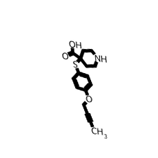 CC#CCOc1ccc(SC2(C(=O)O)CCNCC2)cc1